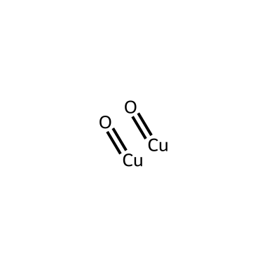 [O]=[Cu].[O]=[Cu]